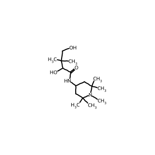 CN1C(C)(C)CC(NC(=O)C(O)C(C)(C)CO)CC1(C)C